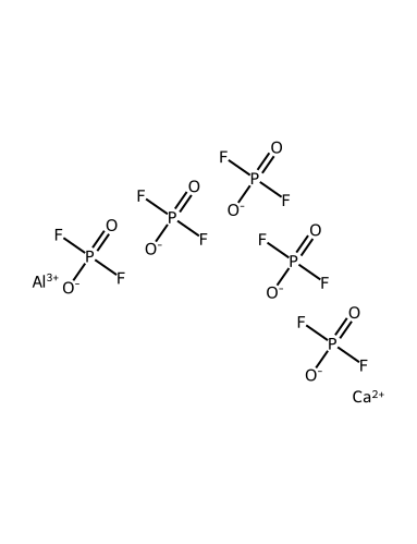 O=P([O-])(F)F.O=P([O-])(F)F.O=P([O-])(F)F.O=P([O-])(F)F.O=P([O-])(F)F.[Al+3].[Ca+2]